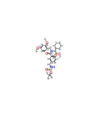 COC(=O)C(C1CCCCC1)N(Cc1ccc(OC)cc1OC)C(=O)c1cccc(CNC(=O)OC(C)(C)C)c1